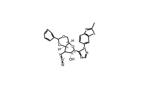 Cc1nc2ccc(-n3ncnc3[C@@H]3O[C@@H]4COC(c5ccccc5)O[C@@H]4C(N=[N+]=[N-])[C@H]3O)cc2s1